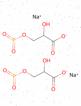 O=C([O-])C(O)COP(=O)=O.O=C([O-])C(O)COP(=O)=O.[Na+].[Na+]